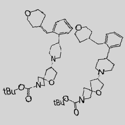 CC(C)(C)OC(=O)N1CC2(C[C@H](N3CCC(c4ccccc4C=C4CCOCC4)CC3)CO2)C1.CC(C)(C)OC(=O)N1CC2(C[C@H](N3CCC(c4ccccc4CC4CCOCC4)CC3)CO2)C1